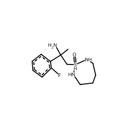 CC(N)(C[SH]1(=O)NCCCCN1)c1ccccc1F